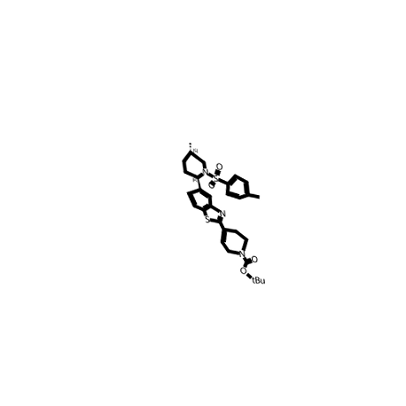 Cc1ccc(S(=O)(=O)N2C[C@@H](C)CC[C@@H]2c2ccc3sc(C4=CCN(C(=O)OC(C)(C)C)CC4)nc3c2)cc1